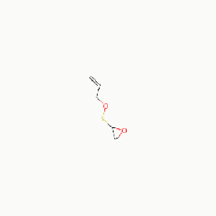 C=CCOSC1CO1